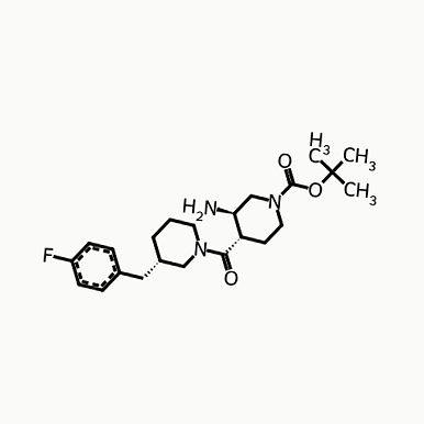 CC(C)(C)OC(=O)N1CC[C@H](C(=O)N2CCC[C@@H](Cc3ccc(F)cc3)C2)[C@@H](N)C1